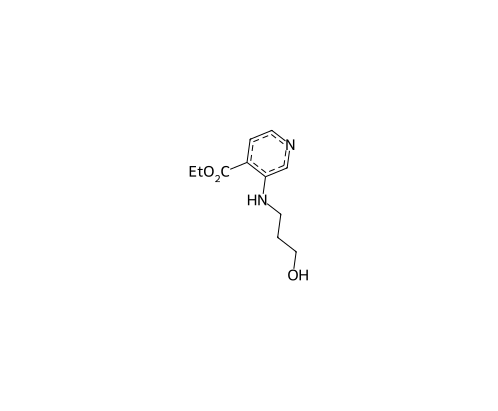 CCOC(=O)c1ccncc1NCCCO